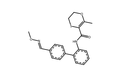 CO/N=C/c1ccc(-c2ccccc2NC(=O)C2=C(C)OCCS2)cc1